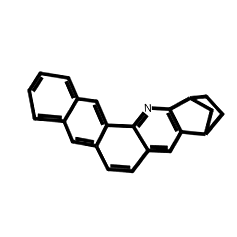 c1ccc2cc3c(ccc4cc5c(nc43)C3CCC5C3)cc2c1